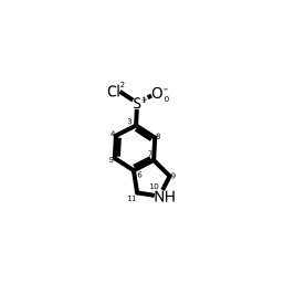 [O-][S+](Cl)c1ccc2c(c1)CNC2